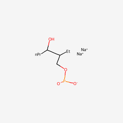 CCCC(O)C(CC)COP([O-])[O-].[Na+].[Na+]